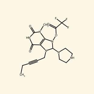 CCC#CCN1c2c(n(C)c(=O)[nH]c2=O)N(OC(=O)C(F)(F)F)C1N1CCNCC1